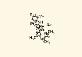 CC(C)c1cc(F)cc(C(C)C)c1NC(=O)NS(=O)(=O)c1cc(CN(C)C2CN(C)C2)n(C)n1.[Na]